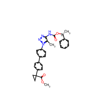 COC(=O)C1(c2ccc(-c3ccc(-n4nnc(NC(=O)O[C@H](C)c5ccccc5)c4C)cc3)cc2)CC1